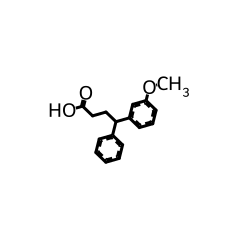 COc1cccc(C(CCC(=O)O)c2ccccc2)c1